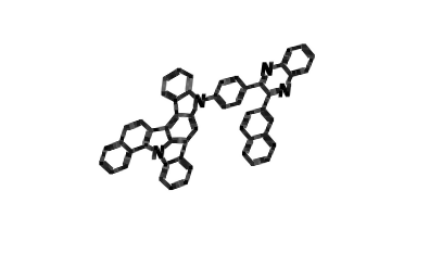 c1ccc2cc(-c3nc4ccccc4nc3-c3ccc(-n4c5ccccc5c5c6c7ccc8ccccc8c7n7c8ccccc8c(cc54)c67)cc3)ccc2c1